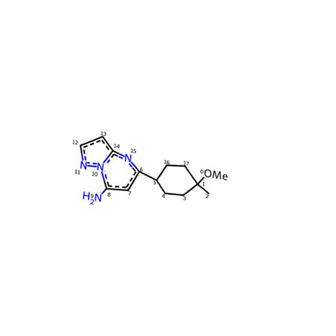 COC1(C)CCC(c2cc(N)n3nccc3n2)CC1